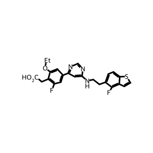 CCOc1cc(-c2cc(NCCc3ccc4sccc4c3F)ncn2)cc(F)c1CC(=O)O